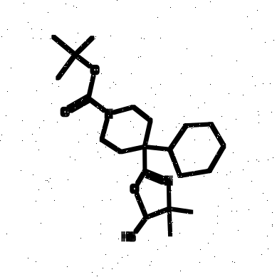 CC(C)(C)OC(=O)N1CCC(C2=NC(C)(C)C(S)O2)(C2CCCCC2)CC1